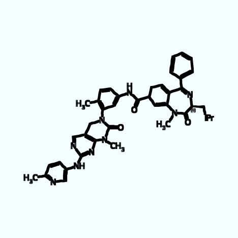 Cc1ccc(Nc2ncc3c(n2)N(C)C(=O)N(c2cc(NC(=O)C4C=C5C(=CC4)C(c4ccccc4)=N[C@@H](CC(C)C)C(=O)N5C)ccc2C)C3)cn1